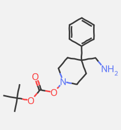 CC(C)(C)OC(=O)ON1CCC(CN)(c2ccccc2)CC1